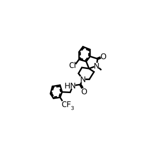 CN1C(=O)c2cccc(Cl)c2C12CCN(C(=O)NCc1ccccc1C(F)(F)F)CC2